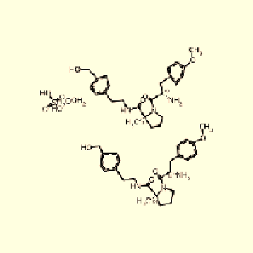 COc1ccc(C[C@H](N)C(=O)N2CCC[C@@]2(C)C(=O)NCCc2ccc(CO)cc2)cc1.COc1ccc(C[C@H](N)C(=O)N2CCC[C@@]2(C)C(=O)NCCc2ccc(CO)cc2)cc1.O.O.O=S(=O)(O)O